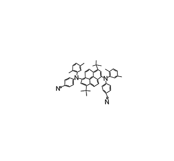 Cc1ccc(C)c(N(c2ccc(C#N)cc2)c2cc(C(C)(C)C)c3ccc4c(N(c5ccc(C#N)cc5)c5cc(C)ccc5C)cc(C(C)(C)C)c5ccc2c3c45)c1